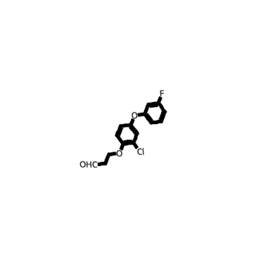 O=CCCOc1ccc(Oc2cccc(F)c2)cc1Cl